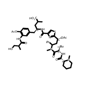 CC[C@H](C)[C@H](NC(=O)[C@H]1CCCCN1C)C(=O)N(C)C(C[C@@H](OC(C)=O)c1nc(C(=O)N[C@@H](Cc2ccc(OC(C)=O)c(NC(=O)C(C)CO)c2)CC(C)C(=O)O)cs1)C(C)C